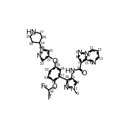 Cn1cc(NC(=O)c2cnn3cccnc23)c(-c2cc(Oc3cnn(C4CCNCC4)c3)ccc2OC(F)F)n1